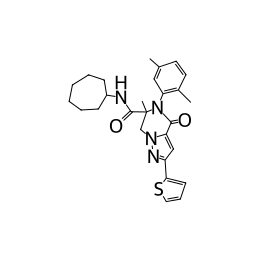 Cc1ccc(C)c(N2C(=O)c3cc(-c4cccs4)nn3CC2(C)C(=O)NC2CCCCCC2)c1